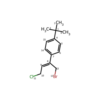 CC(C)(C)c1ccc(C(=CCCl)CBr)cc1